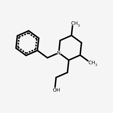 CC1CC(C)C(CCO)N(Cc2ccccc2)C1